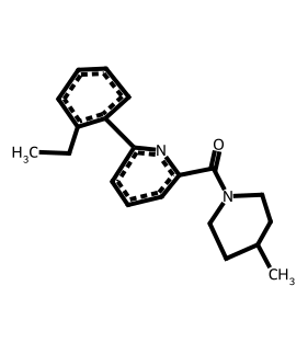 CCc1ccccc1-c1cccc(C(=O)N2CCC(C)CC2)n1